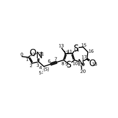 Cc1cc([C@@H](C)C#Cc2sc3c(c2C)SCCC(=O)N3C)no1